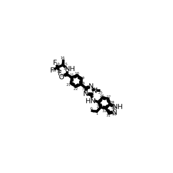 CCc1c(Nc2nc(-c3ccc(C(=O)NC(C)C(F)(F)F)cc3)nn2C)ccc2[nH]ncc12